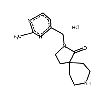 Cl.O=C1N(Cc2ccnc(C(F)(F)F)n2)CCC12CCNCC2